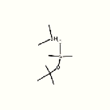 C[SiH](C)O[Si](C)(C)OC(C)(C)C